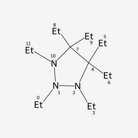 CCN1N(CC)C(CC)(CC)C(CC)(CC)N1CC